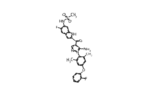 Cc1cc(Oc2ccccc2F)cc(C)c1-n1ncc(C(=O)c2cc3cc(F)c(NS(C)(=O)=O)cc3[nH]2)c1N